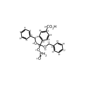 O=[PH2]OC(OCc1ccccc1)(OCc1ccccc1)c1ccc(C(=O)O)cc1